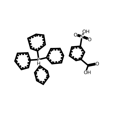 O=C(O)c1cccc(S(=O)(=O)O)c1.c1ccc([PH](c2ccccc2)(c2ccccc2)c2ccccc2)cc1